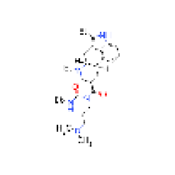 CCNC(=O)N(CCCN(C)C)C(=O)[C@@H]1C[C@@H]2c3cccc4[nH]c(CC)c(c34)C[C@H]2N(CC)C1